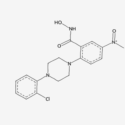 C[N+](=O)c1ccc(N2CCN(c3ccccc3Cl)CC2)c(C(=O)NO)c1